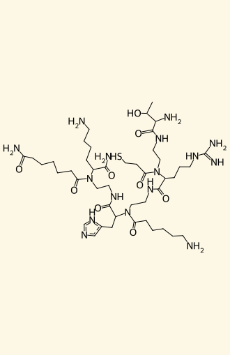 CC(O)C(N)C(=O)NCCN(C(=O)CCS)C(CCCNC(=N)N)C(=O)NCCN(C(=O)CCCCCN)C(Cc1cnc[nH]1)C(=O)NCCN(C(=O)CCCCCC(N)=O)C(CCCCN)C(N)=O